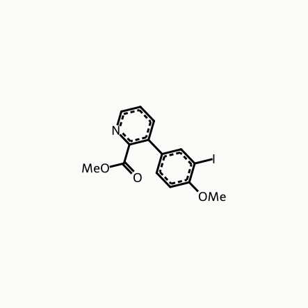 COC(=O)c1ncccc1-c1ccc(OC)c(I)c1